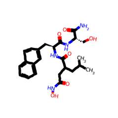 CC(C)CC(CC(=O)NO)C(=O)N[C@@H](Cc1ccc2ccccc2c1)C(=O)N[C@@H](CO)C(N)=O